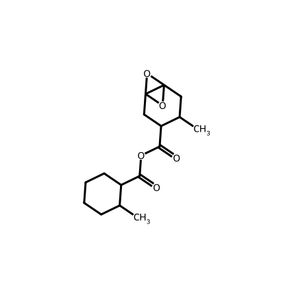 CC1CCCCC1C(=O)OC(=O)C1CC23OC2(CC1C)O3